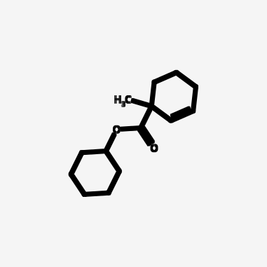 CC1(C(=O)OC2CCCCC2)C=CCCC1